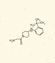 CC(C)(C)c1ccccc1NC1CCN(C(=O)CN)CC1